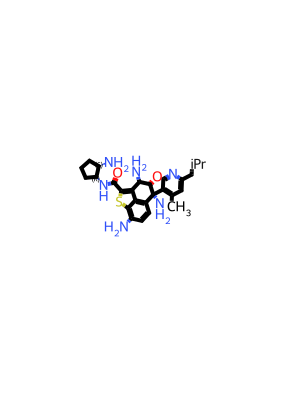 Cc1cc(CC(C)C)ncc1C1(N)C(=O)C(N)c2c(C(=O)N[C@@H]3CCC[C@@H]3N)sc3c(N)ccc1c23